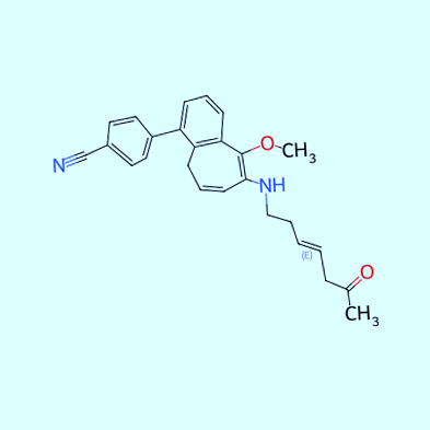 COC1=C(NCC/C=C/CC(C)=O)C=CCc2c1cccc2-c1ccc(C#N)cc1